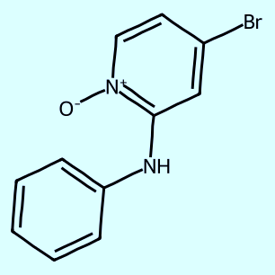 [O-][n+]1ccc(Br)cc1Nc1ccccc1